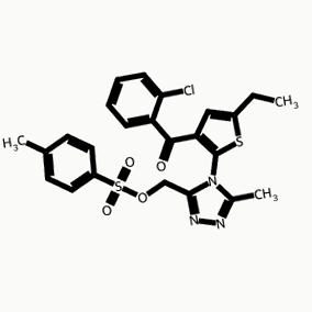 CCc1cc(C(=O)c2ccccc2Cl)c(-n2c(C)nnc2COS(=O)(=O)c2ccc(C)cc2)s1